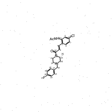 CC(=O)Nc1cc(Cl)ccc1C=CC(=O)N1CCN(Cc2ccc(F)cc2)C[C@H]1C